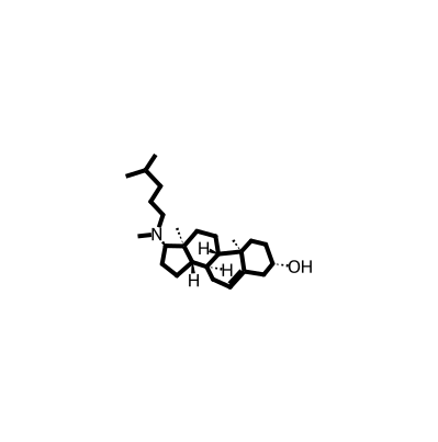 CC(C)CCCN(C)[C@H]1CC[C@H]2[C@@H]3CC=C4C[C@@H](O)CC[C@]4(C)[C@H]3CC[C@]12C